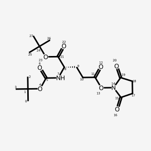 CC(C)(C)OC(=O)N[C@@H](CCC(=O)ON1C(=O)CCC1=O)C(=O)OC(C)(C)C